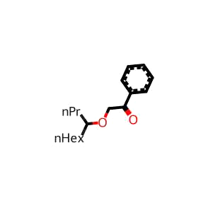 CCCCCCC(CCC)OCC(=O)c1ccccc1